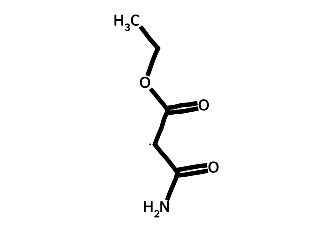 CCOC(=O)[CH]C(N)=O